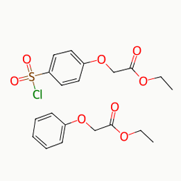 CCOC(=O)COc1ccc(S(=O)(=O)Cl)cc1.CCOC(=O)COc1ccccc1